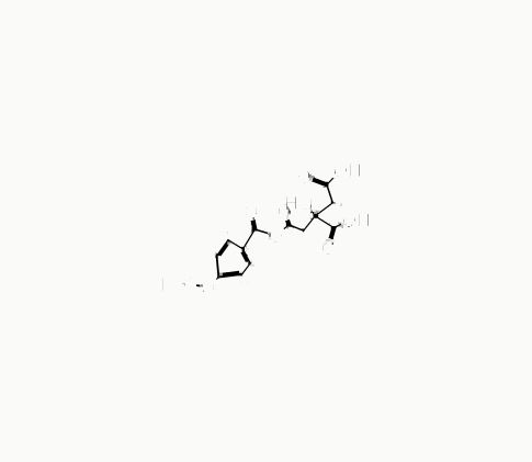 COc1ccc(C(=O)OC(=O)CC(O)(CC(=O)O)C(=O)O)cc1